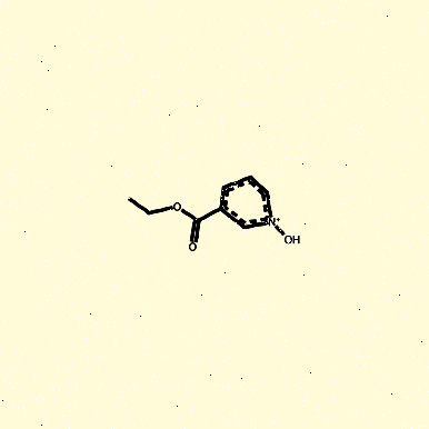 CCOC(=O)c1ccc[n+](O)c1